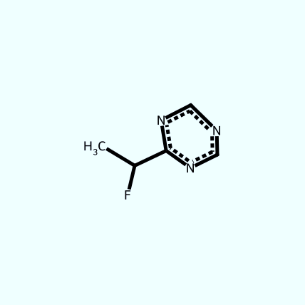 CC(F)c1ncncn1